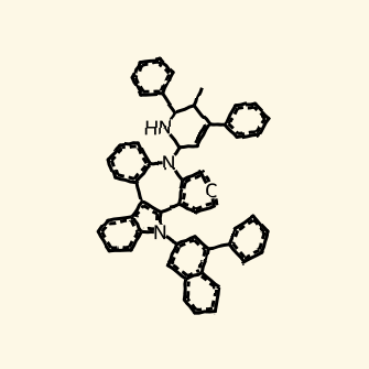 CC1C(c2ccccc2)=CC(N2c3ccccc3-c3c(n(-c4cc(-c5ccccc5)c5ccccc5c4)c4ccccc34)-c3ccccc32)NC1c1ccccc1